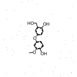 COc1cc(Oc2ccc(O)c(CO)c2)ccc1O